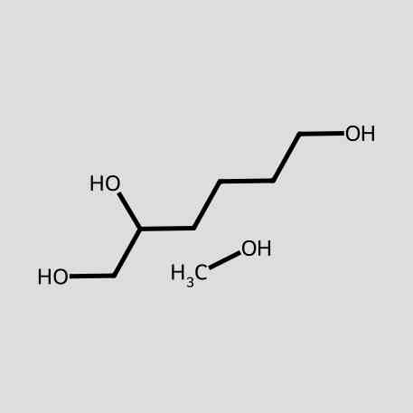 CO.OCCCCC(O)CO